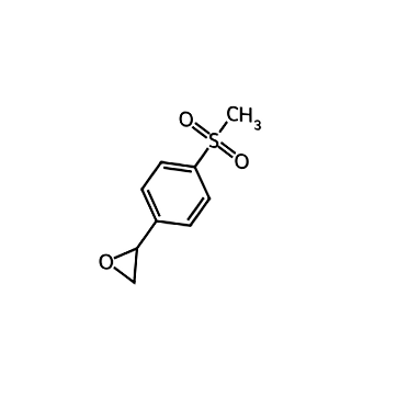 CS(=O)(=O)c1ccc(C2CO2)cc1